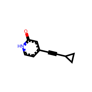 O=c1cc(C#CC2CC2)cc[nH]1